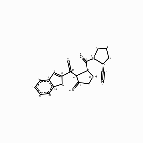 N#C[C@@H]1CCCN1C(=O)[C@H]1NCC(=S)C1C(=O)C1=Cc2ccccc2C1